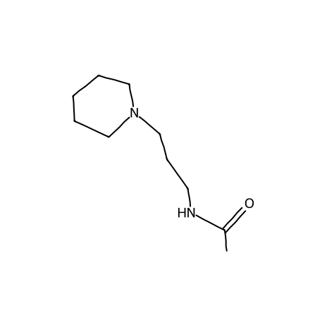 CC(=O)NCCCN1CCCCC1